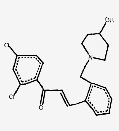 O=C(C=Cc1ccccc1CN1CCC(O)CC1)c1ccc(Cl)cc1Cl